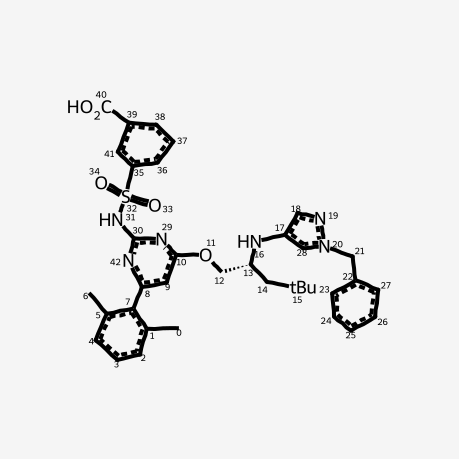 Cc1cccc(C)c1-c1cc(OC[C@@H](CC(C)(C)C)Nc2cnn(Cc3ccccc3)c2)nc(NS(=O)(=O)c2cccc(C(=O)O)c2)n1